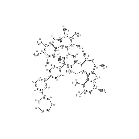 BCC1=c2c(sc3c(B)cc(O)c(B)c23)=C(B)CC(B)=C1C(=N/Cc1c(B)c(B)c(B)c2sc3c(B)c(B)c(B)c(B)c3c12)/N=C(\N=C)c1ccc(-c2cccc(C3=CCC=CC=C3)c2)cc1